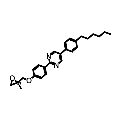 CCCCCCc1ccc(-c2cnc(-c3ccc(OC[C@]4(C)CO4)cc3)nc2)cc1